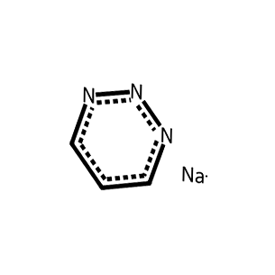 [Na].c1cnnnc1